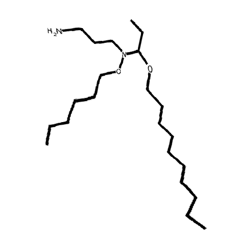 CCCCCCCCCCOC(CC)N(CCCN)OCCCCCC